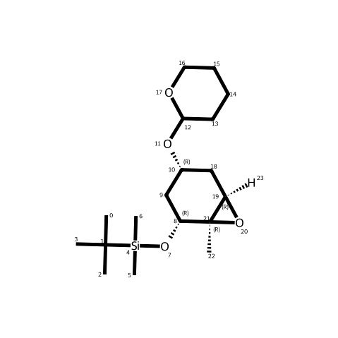 CC(C)(C)[Si](C)(C)O[C@@H]1C[C@H](OC2CCCCO2)C[C@H]2O[C@]21C